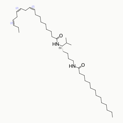 CC/C=C\C/C=C\C/C=C\CCCCCCCC(=O)N[C@@H](CCCCNC(=O)CCCCCCCCCCCCC)C(C)C